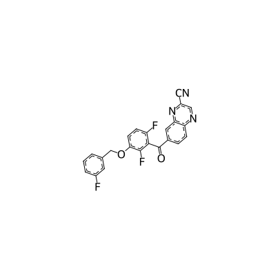 N#Cc1cnc2ccc(C(=O)c3c(F)ccc(OCc4cccc(F)c4)c3F)cc2n1